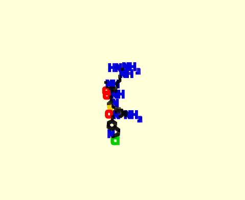 CNC(=O)[C@H](CCCCNC(=N)N)NC(=O)c1csc([C@@H]2C[C@@H](N)CN2C(=O)c2ccc3nc(Cl)ccc3c2)n1